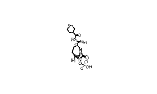 N=C(NC(=O)C1CCSCC1)[C@@H]1CC[C@@H]2CN1C(=O)N2OS(=O)(=O)O